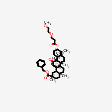 COCCOCCC(=O)O[C@H]1CC[C@@]2(C)C(CCC3(C)[C@@H]2C(=O)C=C2C4C[C@@](C)(C(=O)OCc5ccccc5)CC[C@]4(C)CC[C@]23C)[C@H]1C